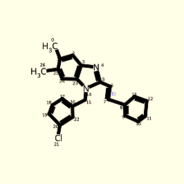 Cc1cc2nc(/C=C/c3ccccc3)n(Cc3cccc(Cl)c3)c2cc1C